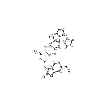 CN(CCCn1c(=O)sc2cc(C=O)ccc21)[C@H]1CC[C@H](OC(C(=O)O)(c2cccs2)c2cccs2)CC1